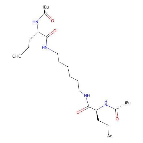 CC[C@H](C)C(=O)N[C@@H](CCC=O)C(=O)NCCCCCCNC(=O)[C@H](CCC(C)=O)NC(=O)[C@@H](C)CC